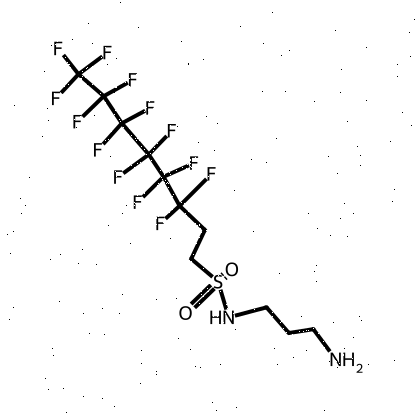 NCCCNS(=O)(=O)CCC(F)(F)C(F)(F)C(F)(F)C(F)(F)C(F)(F)C(F)(F)F